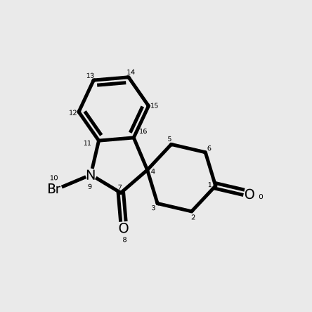 O=C1CCC2(CC1)C(=O)N(Br)c1ccccc12